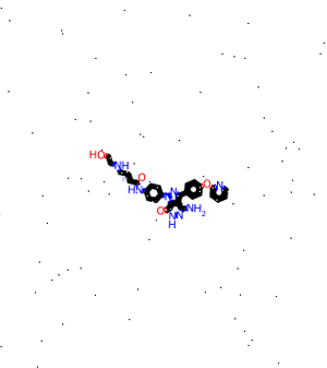 Nc1n[nH]c(=O)c2c1c(-c1ccc(Oc3ccccn3)cc1)nn2C1CCC(NC(=O)/C=C/CNCCO)CC1